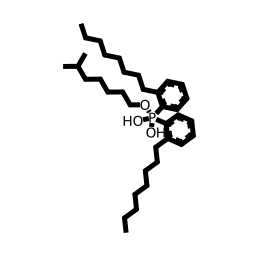 CCCCCCCCc1ccccc1P(O)(O)(OCCCCCC(C)C)c1ccccc1CCCCCCCC